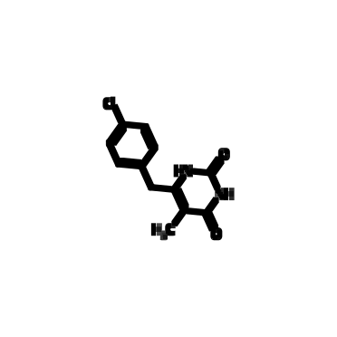 Cc1c(Cc2ccc(Cl)cc2)[nH]c(=O)[nH]c1=O